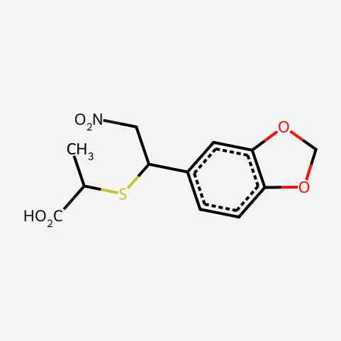 CC(SC(C[N+](=O)[O-])c1ccc2c(c1)OCO2)C(=O)O